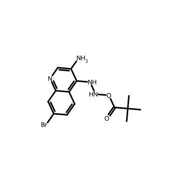 CC(C)(C)C(=O)ONNc1c(N)cnc2cc(Br)ccc12